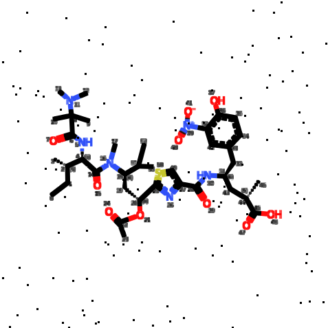 CC[C@H](C)[C@H](NC(=O)C(C)(C)N(C)C)C(=O)N(C)[C@H](C[C@@H](OC(C)=O)c1nc(C(=O)N[C@@H](Cc2ccc(O)c([N+](=O)[O-])c2)C[C@H](C)C(=O)O)cs1)C(C)C